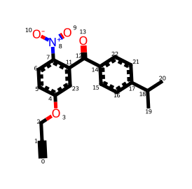 C#CCOc1ccc([N+](=O)[O-])c(C(=O)c2ccc(C(C)C)cc2)c1